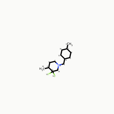 CC1CCC(CN2CCC(C)C(F)(F)C2)CC1